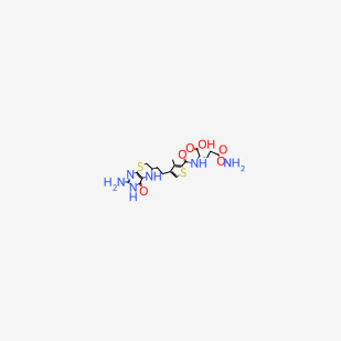 Cc1c(CC[C@@H]2CSc3nc(N)[nH]c(=O)c3N2)csc1C(=O)N[C@@H](CCC(=O)ON)C(=O)O